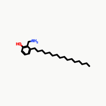 CCCCCCCCCCCCCCCCc1cccc(O)c1CN